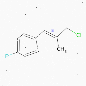 C/C(=C\c1ccc(F)cc1)CCl